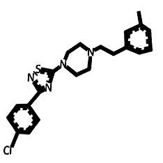 Cc1cccc(CCN2CCN(c3nc(-c4ccc(Cl)cc4)ns3)CC2)c1